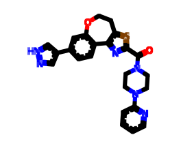 O=C(c1nc2c(s1)CCOc1cc(-c3cn[nH]c3)ccc1-2)N1CCN(c2ccccn2)CC1